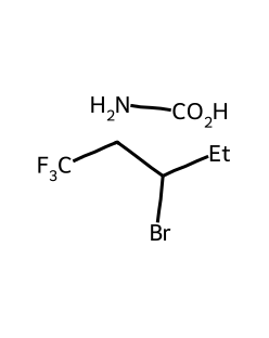 CCC(Br)CC(F)(F)F.NC(=O)O